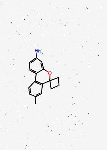 Cc1ccc2c(c1)C1(CCC1)Oc1cc(N)ccc1-2